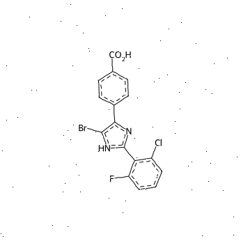 O=C(O)c1ccc(-c2nc(-c3c(F)cccc3Cl)[nH]c2Br)cc1